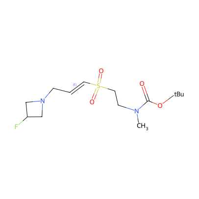 CN(CCS(=O)(=O)/C=C/CN1CC(F)C1)C(=O)OC(C)(C)C